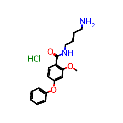 COc1cc(Oc2ccccc2)ccc1C(=O)NCCCCN.Cl